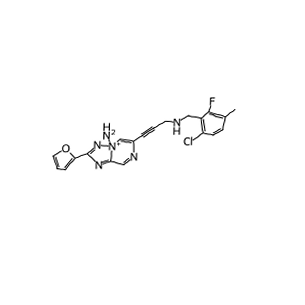 Cc1ccc(Cl)c(CNCC#CC2=C[N+]3(N)N=C(c4ccco4)N=C3C=N2)c1F